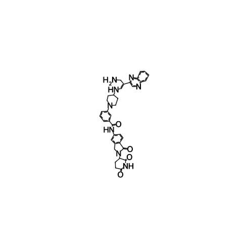 NC/C(=C\NC1CCN(c2cccc(C(=O)Nc3ccc4c(c3)CN(C3CCC(=O)NC3=O)C4=O)c2)CC1)c1cnc2ccccc2n1